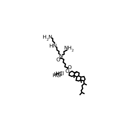 CC(C)CCCC(C)C1CCC2C3CC=C4CC(OC(=O)CCCCC(=O)N(CCCN)CCCCNCCCN)CCC4(C)C3CCC12C.Cl.Cl.Cl